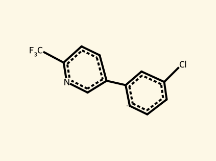 FC(F)(F)c1ccc(-c2[c]ccc(Cl)c2)cn1